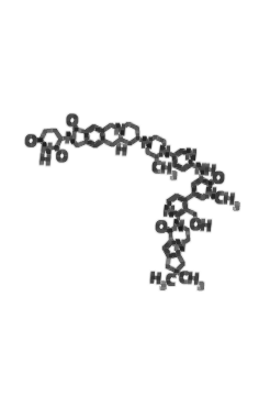 C[C@H]1CN([C@@H]2CCN3Cc4cc5c(cc4C[C@@H]3C2)CN(C2CCC(=O)NC2=O)C5=O)CCN1c1ccc(Nc2cc(-c3ccnc(N4CCn5c(cc6c5CC(C)(C)C6)C4=O)c3CO)cn(C)c2=O)nc1